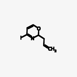 C=CCC1N=C(I)C=CO1